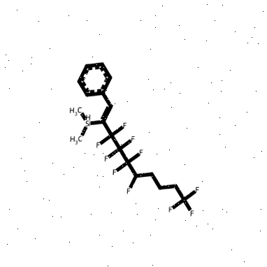 C[SiH](C)C(=Cc1ccccc1)C(F)(F)C(F)(F)C(F)(F)C(F)CCCC(F)(F)F